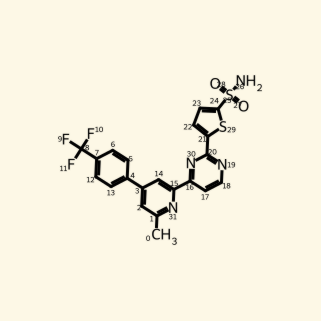 Cc1cc(-c2ccc(C(F)(F)F)cc2)cc(-c2ccnc(-c3ccc(S(N)(=O)=O)s3)n2)n1